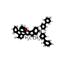 CC1(C)c2cc(-c3ccc(F)c4c3C3(c5ccccc5-4)C4CC5CC(C4)CC3C5)ccc2-c2ccc(N(c3ccc(-c4ccccc4)cc3)c3ccc(-c4ccccc4)cc3)cc21